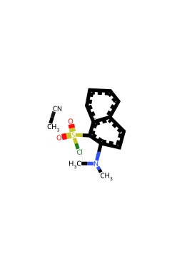 CC#N.CN(C)c1ccc2ccccc2c1S(=O)(=O)Cl